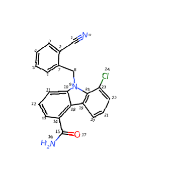 N#Cc1ccccc1Cn1c2cccc(C(N)=O)c2c2[c]ccc(Cl)c21